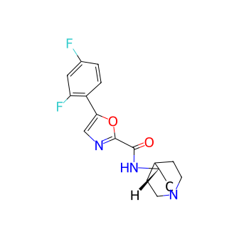 O=C(N[C@H]1CN2CCC1CC2)c1ncc(-c2ccc(F)cc2F)o1